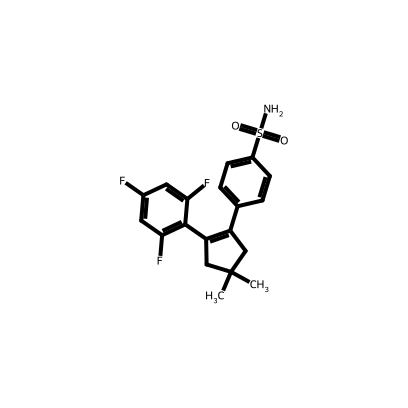 CC1(C)CC(c2ccc(S(N)(=O)=O)cc2)=C(c2c(F)cc(F)cc2F)C1